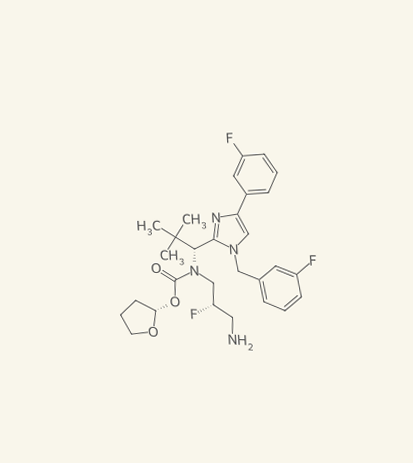 CC(C)(C)[C@H](c1nc(-c2cccc(F)c2)cn1Cc1cccc(F)c1)N(C[C@@H](F)CN)C(=O)O[C@H]1CCCO1